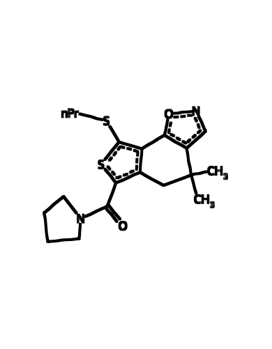 CCCSc1sc(C(=O)N2CCCC2)c2c1-c1oncc1C(C)(C)C2